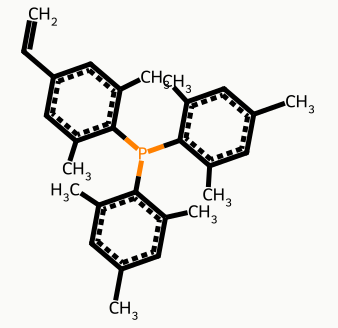 C=Cc1cc(C)c(P(c2c(C)cc(C)cc2C)c2c(C)cc(C)cc2C)c(C)c1